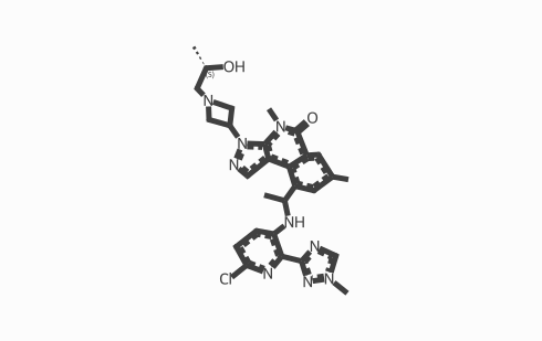 Cc1cc(C(C)Nc2ccc(Cl)nc2-c2ncn(C)n2)c2c(c1)c(=O)n(C)c1c2cnn1C1CN(C[C@H](C)O)C1